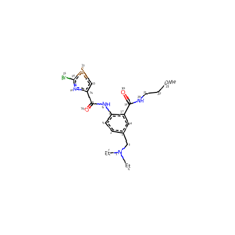 CCN(CC)Cc1ccc(NC(=O)c2csc(Br)n2)c(C(=O)NCCOC)c1